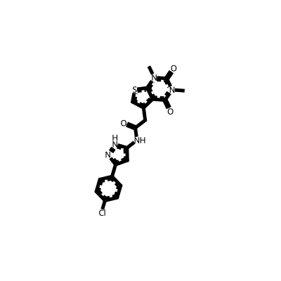 Cn1c(=O)c2c(CC(=O)Nc3cc(-c4ccc(Cl)cc4)n[nH]3)csc2n(C)c1=O